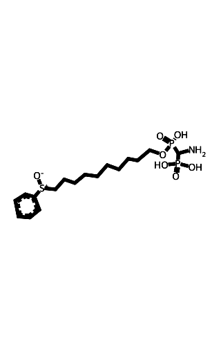 NC(P(=O)(O)O)P(=O)(O)OCCCCCCCCCC[S+]([O-])c1ccccc1